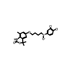 Cc1cc(OCCCC[S+]([O-])c2ccc(Cl)c(Cl)c2)cc2c1NC(=O)OC2(C)C